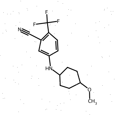 COC1CCC(Nc2ccc(C(F)(F)F)c(C#N)c2)CC1